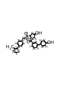 Cc1ncsc1-c1ccc(CNC(=O)[C@@H]2C[C@@H](O)CN2C(=O)c2cccc(-c3ccc(O)cc3)c2)cc1